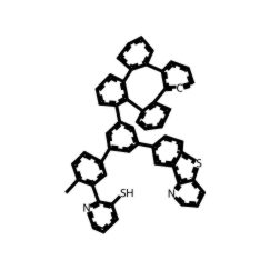 Cc1ccc(-c2cc(-c3ccc4sc5cccnc5c4c3)cc(-c3cccc4c3-c3ccccc3-c3ccccc3-c3ccccc3-4)c2)cc1-c1ncccc1S